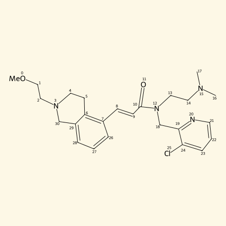 COCCN1CCc2c(C=CC(=O)N(CCN(C)C)Cc3ncccc3Cl)cccc2C1